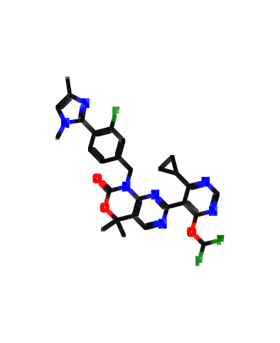 Cc1cn(C)c(-c2ccc(CN3C(=O)OC(C)(C)c4cnc(-c5c(OC(F)F)ncnc5C5CC5)nc43)cc2F)n1